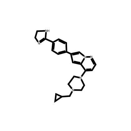 c1cc(N2CCN(CC3CC3)CC2)c2cc(-c3ccc(C4=NCCN4)cc3)cn2n1